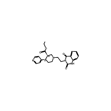 CCOC(=O)[C@H]1CN(CCn2c(=O)[nH]c3ccccc3c2=O)CC[C@H]1c1ccncc1